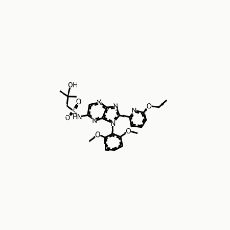 CCOc1cccc(-c2nc3ncc(NS(=O)(=O)CC(C)(C)O)nc3n2-c2c(OC)cccc2OC)n1